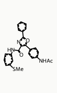 CSc1cccc(NC(=O)c2nc(-c3ccccc3)oc2-c2ccc(NC(C)=O)cc2)c1